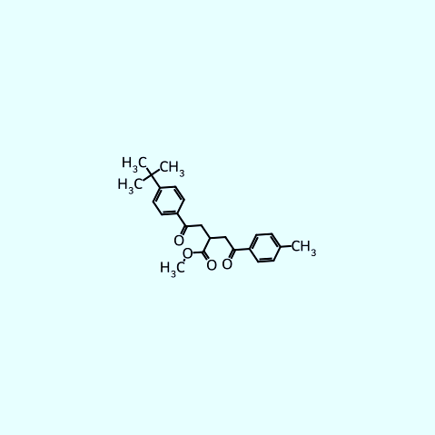 COC(=O)C(CC(=O)c1ccc(C)cc1)CC(=O)c1ccc(C(C)(C)C)cc1